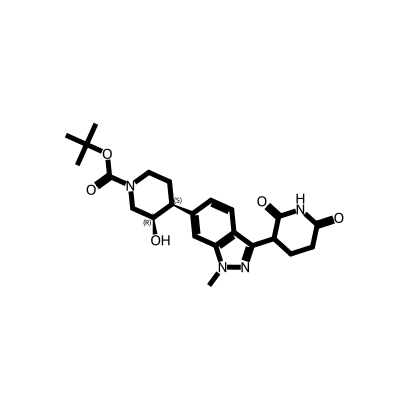 Cn1nc(C2CCC(=O)NC2=O)c2ccc([C@@H]3CCN(C(=O)OC(C)(C)C)C[C@@H]3O)cc21